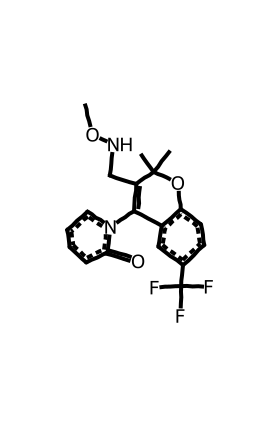 CONCC1=C(n2ccccc2=O)c2cc(C(F)(F)F)ccc2OC1(C)C